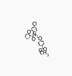 COC(=O)c1ccc(OCCN2C(=O)C3=C(C=CCC3)Oc3cc(Cl)ccc32)cc1